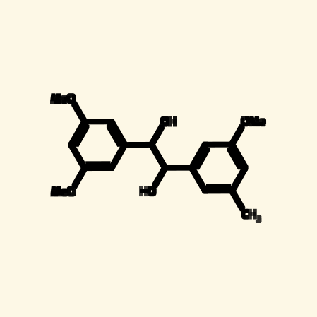 COc1cc(C)cc(C(O)C(O)c2cc(OC)cc(OC)c2)c1